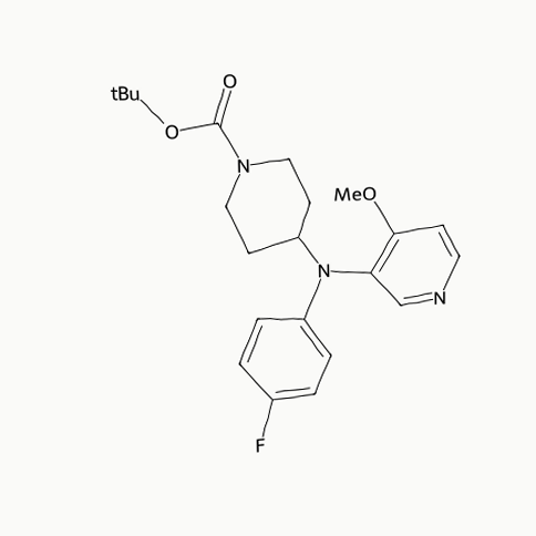 COc1ccncc1N(c1ccc(F)cc1)C1CCN(C(=O)OC(C)(C)C)CC1